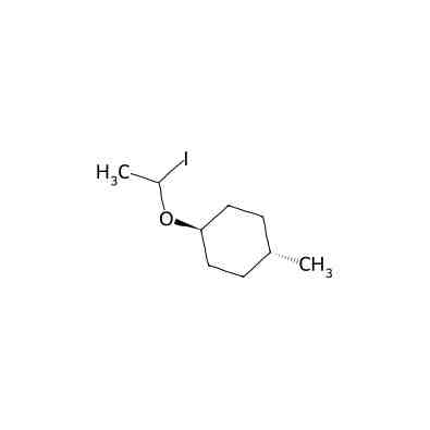 CC(I)O[C@H]1CC[C@H](C)CC1